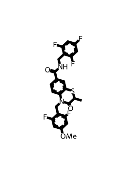 COc1cc(F)c(CN2C(=O)C(C)Sc3cc(C(=O)NCc4c(F)cc(F)cc4F)ccc32)c(F)c1